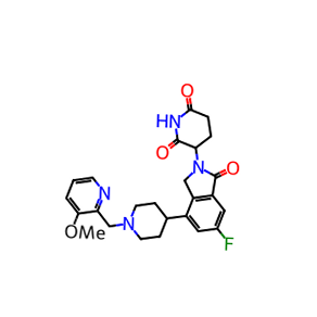 COc1cccnc1CN1CCC(c2cc(F)cc3c2CN(C2CCC(=O)NC2=O)C3=O)CC1